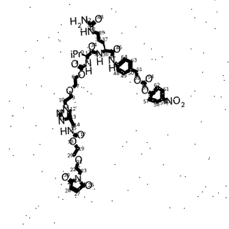 CC(C)[C@H](NC(=O)OCCOCCn1cc(CNC(=O)OCCOCCN2C(=O)C=CC2=O)nn1)C(=O)N[C@@H](CCCNC(N)=O)C(=O)Nc1ccc(COC(=O)Oc2ccc([N+](=O)[O-])cc2)cc1